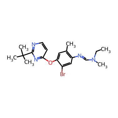 CCN(C)/C=N/c1cc(Br)c(Oc2ccnc(C(C)(C)C)n2)cc1C